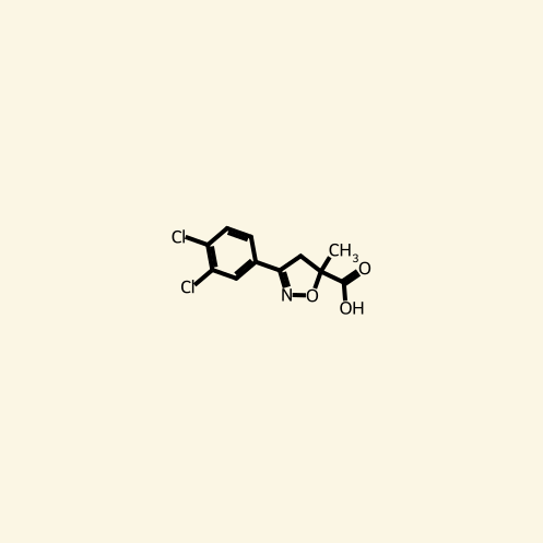 CC1(C(=O)O)CC(c2ccc(Cl)c(Cl)c2)=NO1